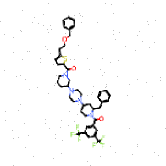 O=C(c1ccc(CCOCc2ccccc2)s1)N1CCCC(N2CCN(C3CCN(C(=O)c4cc(C(F)(F)F)cc(C(F)(F)F)c4)C(Cc4ccccc4)C3)CC2)C1